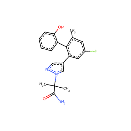 CC(C)(C(N)=O)n1cc(-c2cc(F)cc(C(F)(F)F)c2-c2ccccc2O)cn1